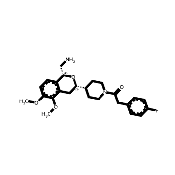 COc1ccc2c(c1OC)C[C@@H](C1CCN(C(=O)Cc3ccc(F)cc3)CC1)O[C@H]2CN